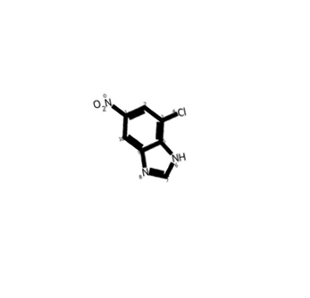 O=[N+]([O-])c1cc(Cl)c2[nH][c]nc2c1